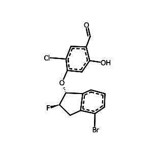 O=Cc1cc(Cl)c(O[C@@H]2c3cccc(Br)c3C[C@H]2F)cc1O